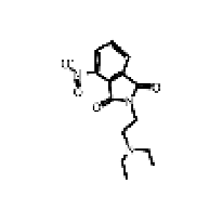 CCN(CC)CCN1C(=O)c2cccc([N+](=O)[O-])c2C1=O